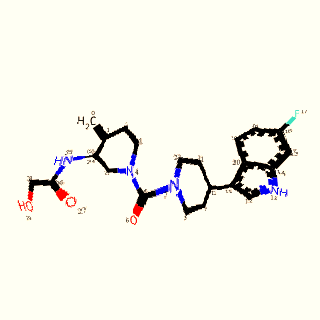 C=C1CCN(C(=O)N2CCC(c3c[nH]c4cc(F)ccc34)CC2)C[C@H]1NC(=O)CO